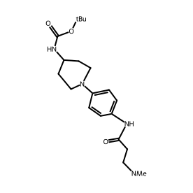 CNCCC(=O)Nc1ccc(N2CCC(NC(=O)OC(C)(C)C)CC2)cc1